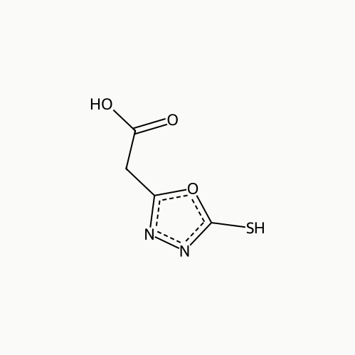 O=C(O)Cc1nnc(S)o1